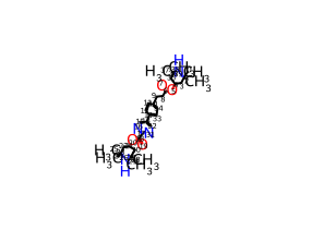 CC1(C)CC(OC(=O)CCc2ccc(-c3cnc(C(=O)OC4CC(C)(C)NC(C)(C)C4)nc3)cc2)CC(C)(C)N1